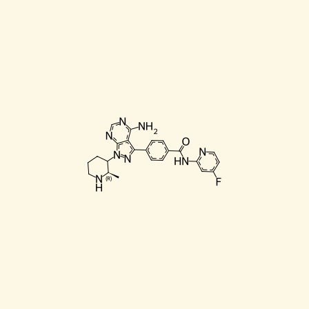 C[C@H]1NCCCC1n1nc(-c2ccc(C(=O)Nc3cc(F)ccn3)cc2)c2c(N)ncnc21